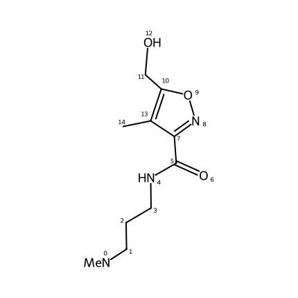 CNCCCNC(=O)c1noc(CO)c1C